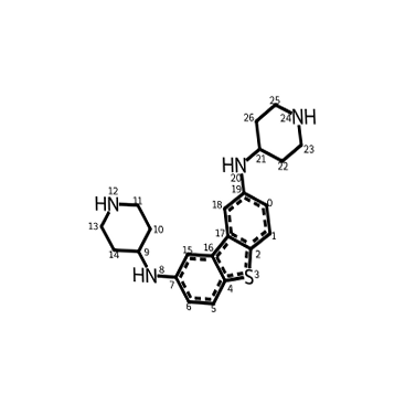 c1cc2sc3ccc(NC4CCNCC4)cc3c2cc1NC1CCNCC1